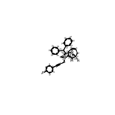 CN(CC#Cc1ccc(F)cc1)C1CC2=CC[C@H](C1)[C@@H](C(=O)O)N2C(=O)C(c1ccccc1)c1ccccc1